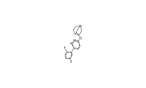 Fc1ccc(F)c(-c2ccc(OC3CN4CCC3CC4)nn2)c1